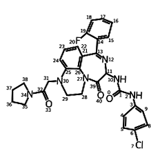 O=C(Nc1ccc(Cl)cc1)NC1N=C(c2ccccc2F)c2cccc3c2N(CCN3CC(=O)N2CCCC2)C1=O